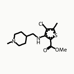 COC(=O)c1sc(C)c(Cl)c1NCC1CCN(C)CC1